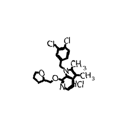 Cc1c(C)n(Cc2ccc(Cl)c(Cl)c2)c2c(OCC3CCCO3)nccc12.Cl